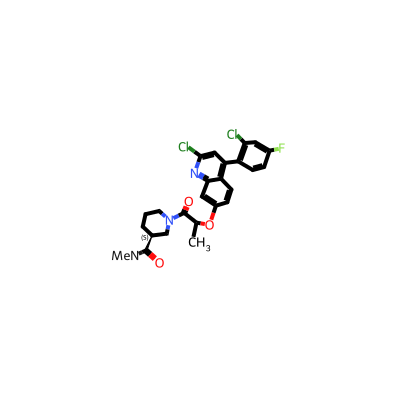 CNC(=O)[C@H]1CCCN(C(=O)C(C)Oc2ccc3c(-c4ccc(F)cc4Cl)cc(Cl)nc3c2)C1